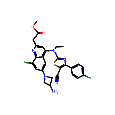 CCN(c1nc(-c2ccc(F)cc2)c(C#N)s1)c1cc(CC(=O)OC)nc2c(F)cc(N3CC(N)C3)cc12